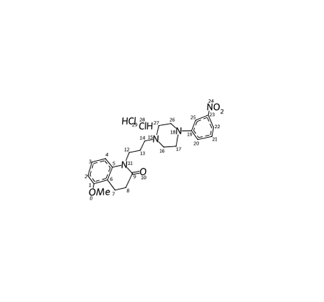 COc1cccc2c1CCC(=O)N2CCCN1CCN(c2cccc([N+](=O)[O-])c2)CC1.Cl.Cl